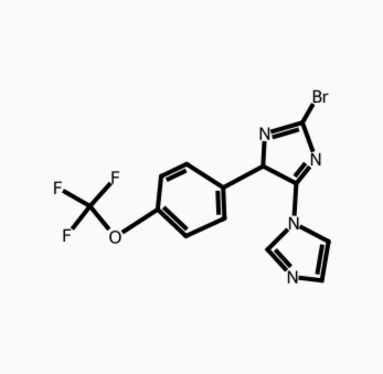 FC(F)(F)Oc1ccc(C2N=C(Br)N=C2n2ccnc2)cc1